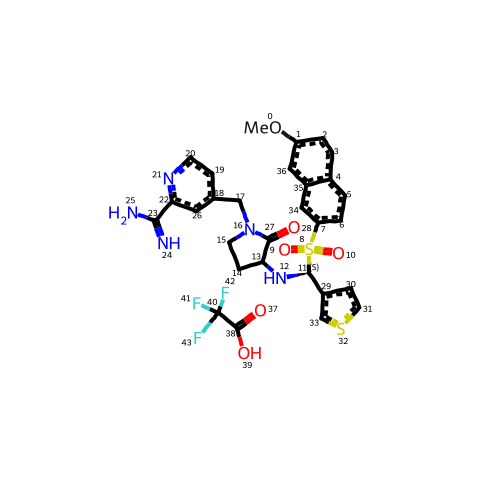 COc1ccc2ccc(S(=O)(=O)[C@H](NC3CCN(Cc4ccnc(C(=N)N)c4)C3=O)c3ccsc3)cc2c1.O=C(O)C(F)(F)F